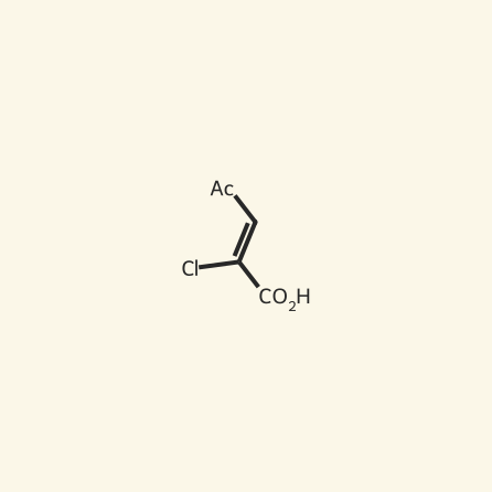 CC(=O)C=C(Cl)C(=O)O